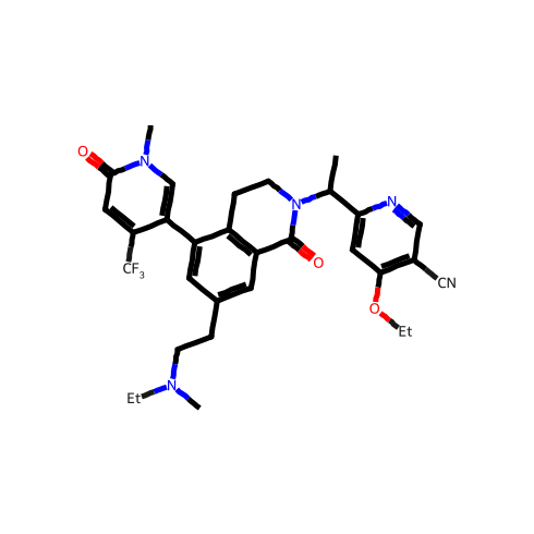 CCOc1cc(C(C)N2CCc3c(cc(CCN(C)CC)cc3-c3cn(C)c(=O)cc3C(F)(F)F)C2=O)ncc1C#N